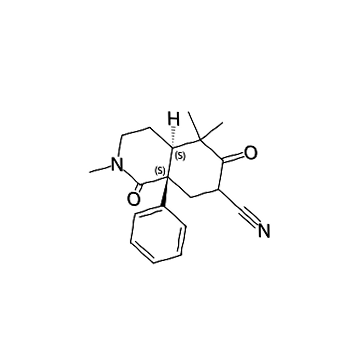 CN1CC[C@H]2C(C)(C)C(=O)C(C#N)C[C@]2(c2ccccc2)C1=O